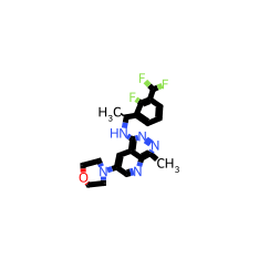 Cc1nnc(N[C@H](C)c2cccc(C(F)F)c2F)c2cc(N3CCOCC3)cnc12